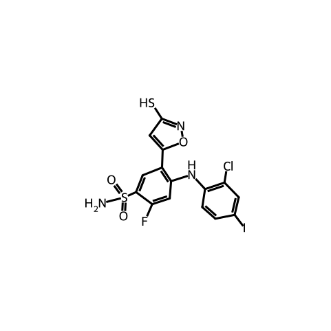 NS(=O)(=O)c1cc(-c2cc(S)no2)c(Nc2ccc(I)cc2Cl)cc1F